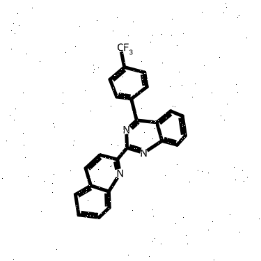 FC(F)(F)c1ccc(-c2nc(-c3ccc4ccccc4n3)nc3ccccc23)cc1